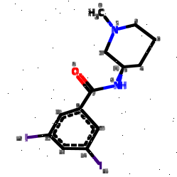 CN1CCC[C@@H](NC(=O)c2cc(I)cc(I)c2)C1